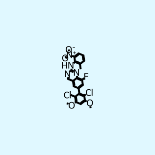 COc1cc(OC)c(Cl)c(-c2cc(F)c3nc(Nc4c(C)cccc4[N+](=O)[O-])ncc3c2)c1Cl